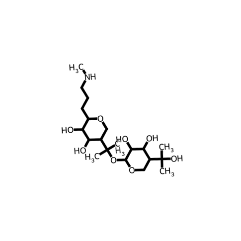 CNCCCC1OCC(C(C)(C)OC2OCC(C(C)(C)O)C(O)C2O)C(O)C1O